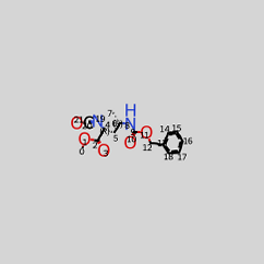 COC(=O)[C@@H](C[C@H](C)NC(=O)OCc1ccccc1)N=C=O